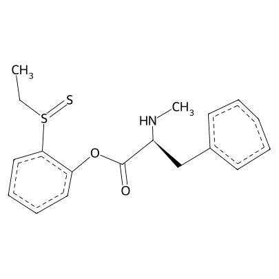 CCS(=S)c1ccccc1OC(=O)[C@H](Cc1ccccc1)NC